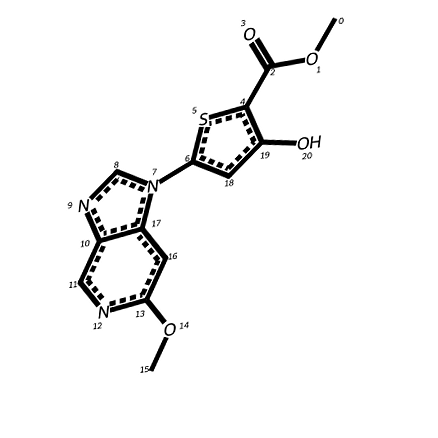 COC(=O)c1sc(-n2cnc3cnc(OC)cc32)cc1O